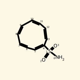 NS(=O)(=O)c1ccccccccc1